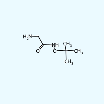 CC(C)(C)ONC(=O)CN